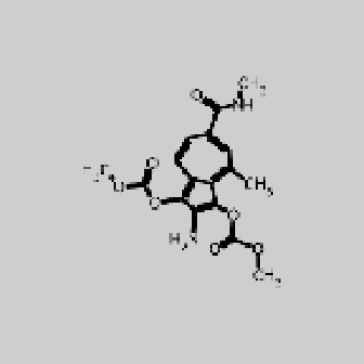 CNC(=O)c1ccc2c(OC(=O)OC)c(N)c(OC(=O)OC)c-2c(C)c1